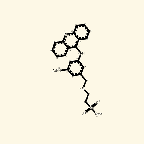 COS(=O)(=O)CCOCc1cc(NC(C)=O)cc(Nc2c3ccccc3nc3ccccc23)c1